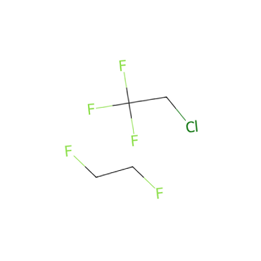 FC(F)(F)CCl.FCCF